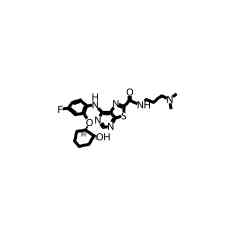 CN(C)CCCNC(=O)c1nc2c(Nc3ccc(F)cc3O[C@@H]3CCCC[C@H]3O)ncnc2s1